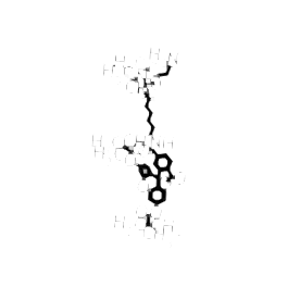 CC(C)N(C(C)C)P(OCCC#N)OCCCCCCNC(=O)c1ccc2c(c1)C1(OC2=O)c2ccc(OC(=O)C(C)(C)C)cc2Oc2cc(OC(=O)C(C)(C)C)ccc21